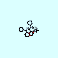 CC(C)(C)[S@@+]([O-])N[C@H](C1CCCCC1)[C@@H](N=C(c1ccccc1)c1ccccc1)c1ccccc1Cl